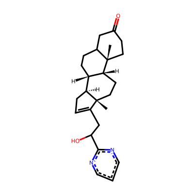 C[C@]12CCC(=O)CC1CC[C@@H]1[C@H]2CC[C@]2(C)C(CC(O)c3ncccn3)=CC[C@@H]12